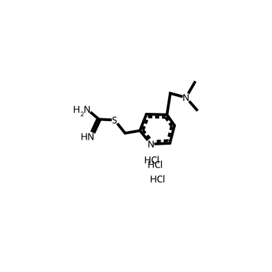 CN(C)Cc1ccnc(CSC(=N)N)c1.Cl.Cl.Cl